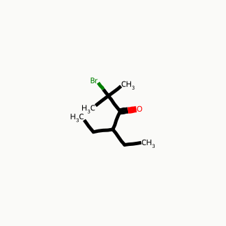 CCC(CC)C(=O)C(C)(C)Br